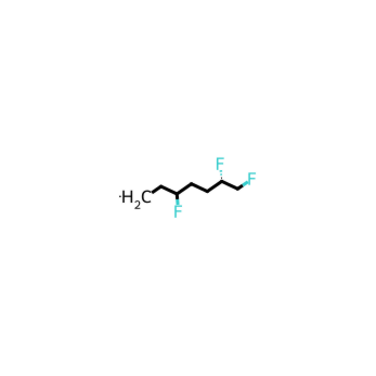 [CH2]CC(F)CC[C@H](F)CF